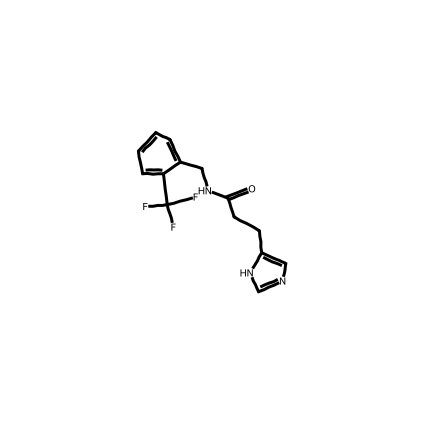 O=C(CCc1cnc[nH]1)NCc1ccccc1C(F)(F)F